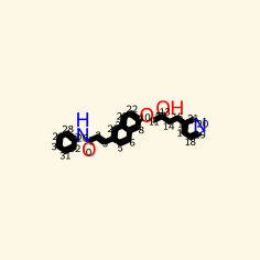 O=C(C=Cc1ccc2cc(OC[C@H](O)CCc3cccnc3)ccc2c1)Nc1ccccc1